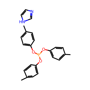 Cc1ccc(OP(Oc2ccc(C)cc2)Oc2ccc(C)cc2)cc1.c1c[nH]cn1